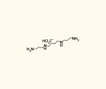 CC(=O)O.NCCCNCCCCNCCCN